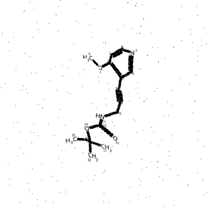 COc1ccncc1C#CCNC(=O)OC(C)(C)C